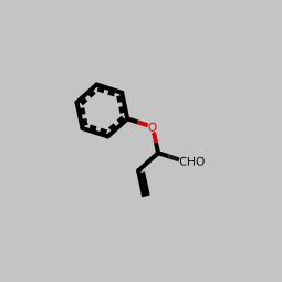 C=CC(C=O)Oc1ccccc1